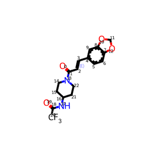 O=C(/C=C/c1ccc2c(c1)OCO2)N1CCC(NC(=O)C(F)(F)F)CC1